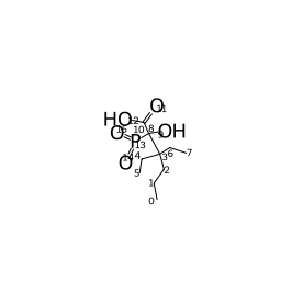 CCCC(CC)(CC)C(O)(C(=O)O)P(=O)=O